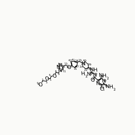 COCCOCCOCCn1cc(COc2ccc(CN3CCC(N/C(N)=N/C(=O)c4nc(Cl)c(N)nc4N)CC3)cc2)nn1